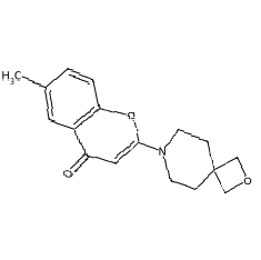 Cc1ccc2oc(N3CCC4(CC3)COC4)cc(=O)c2c1